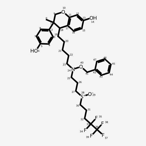 CC1(c2ccc(O)cc2)COc2cc(O)ccc2C1CCCCCN(CCC[S+]([O-])CCCC(F)(F)C(F)(F)F)OCc1ccccc1